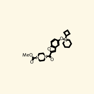 COC(=O)N1CCN(C(=O)c2cc3cc(O[N+]4(C5CCC5)CCCCC4)ccc3o2)CC1